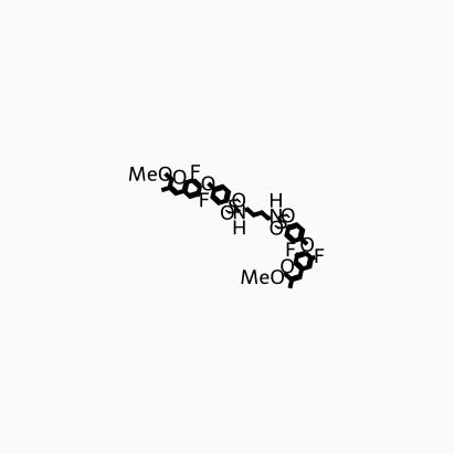 COC(=O)C(C)=Cc1cc(F)c(Oc2ccc(S(=O)(=O)NCCCCNS(=O)(=O)c3ccc(Oc4c(F)cc(C=C(C)C(=O)OC)cc4F)cc3)cc2)c(F)c1